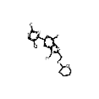 CC(C)n1c(COC2CCCCO2)nc2c(F)cc(-c3nc(Cl)ncc3Cl)cc21